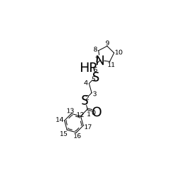 O=C(SCCSPN1CCCC1)c1ccccc1